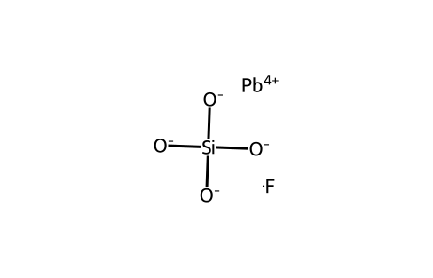 [F].[O-][Si]([O-])([O-])[O-].[Pb+4]